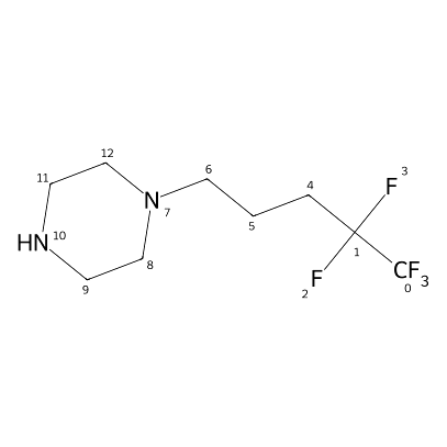 FC(F)(F)C(F)(F)CCCN1CCNCC1